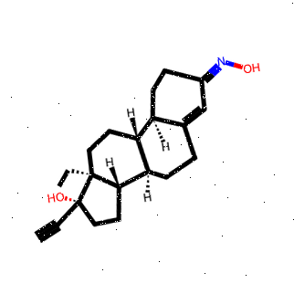 C#C[C@]1(O)CC[C@H]2[C@@H]3CCC4=C/C(=N\O)CC[C@@H]4[C@H]3CC[C@@]21CC